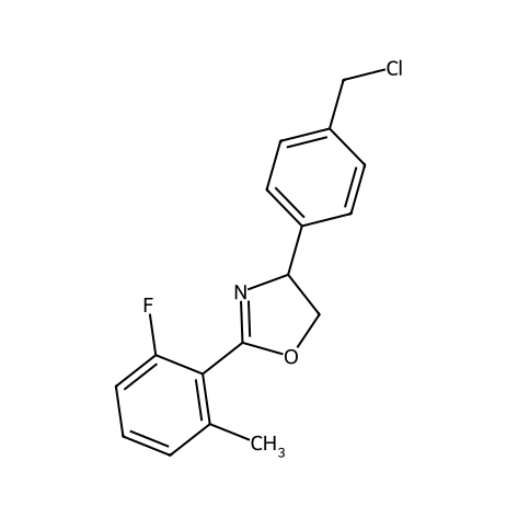 Cc1cccc(F)c1C1=NC(c2ccc(CCl)cc2)CO1